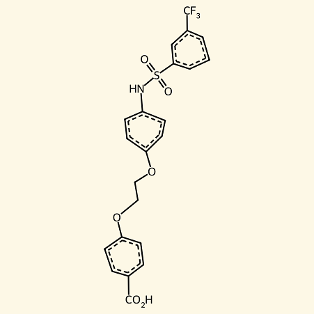 O=C(O)c1ccc(OCCOc2ccc(NS(=O)(=O)c3cccc(C(F)(F)F)c3)cc2)cc1